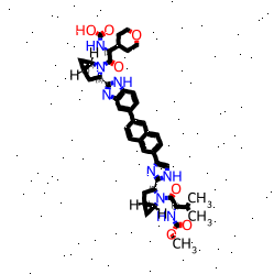 COC(=O)N[C@H](C(=O)N1[C@@H]2C[C@@H]2C[C@H]1c1nc(-c2ccc3cc(-c4ccc5[nH]c([C@@H]6C[C@H]7C[C@H]7N6C(=O)[C@@H](NC(=O)O)C6CCOCC6)nc5c4)ccc3c2)c[nH]1)C(C)C